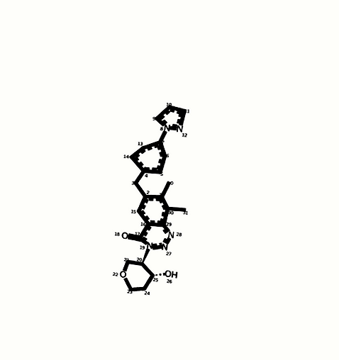 Cc1c(Cc2ccc(-n3cccn3)cc2)cc2c(=O)n([C@@H]3COCC[C@H]3O)nnc2c1C